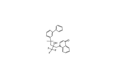 CC(C)(CC(O)(Cn1ccc(=O)c2ccccc21)C(F)(F)F)c1cccc(-c2ccccc2)c1